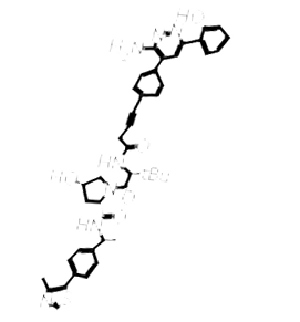 Cc1ncsc1-c1ccc([C@H](C)NC(=O)[C@@H]2C[C@@H](O)CN2C(=O)[C@@H](NC(=O)CC#Cc2ccc(-c3cc(-c4ccccc4O)nnc3N)cc2)C(C)(C)C)cc1